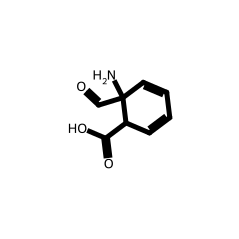 NC1(C=O)C=CC=CC1C(=O)O